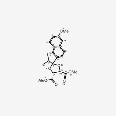 COC(=O)[C@@H]1OC(c2ccc3cc(OC)ccc3c2)(C(C)I)O[C@H]1C(=O)OC